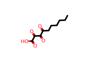 CCCCCCC(=O)C(=O)C(=O)C(=O)O